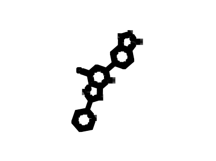 O=c1cc(-c2ccc3[nH]nnc3c2)[nH]c2nc(-c3ccccn3)nn12